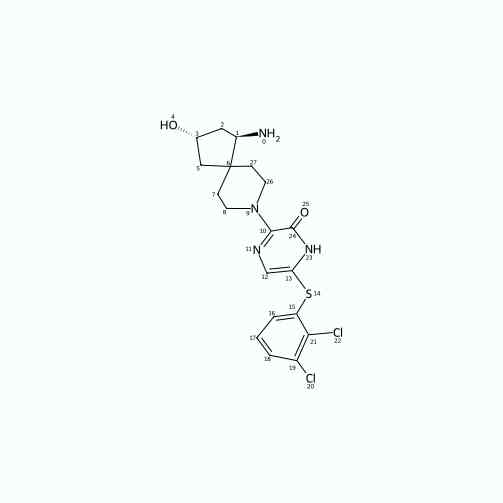 N[C@@H]1C[C@@H](O)CC12CCN(c1ncc(Sc3cccc(Cl)c3Cl)[nH]c1=O)CC2